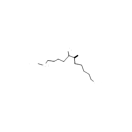 CCCCCCCCCCCCCCCC(=O)C(CCCCCCCCC)CCCCNCCCCCCCC